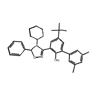 Cc1cc(C)cc(-c2cc(C(C)(C)C)cc(C3=NOC(c4ccccc4)N3C3CCCCC3)c2O)c1